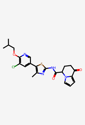 Cc1nc(NC(=O)C2CCC(=O)c3cccn32)sc1-c1cnc(OCC(C)C)c(Cl)c1